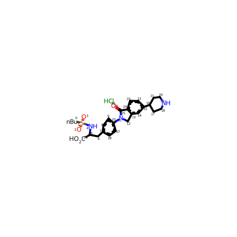 CCCCS(=O)(=O)NC(Cc1ccc(N2Cc3cc(C4CCNCC4)ccc3C2=O)cc1)C(=O)O.Cl